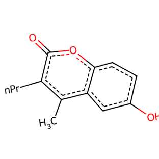 CCCc1c(C)c2cc(O)ccc2oc1=O